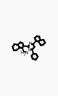 NCc1c(-c2nc(-c3ccccc3)cc(-c3cccc4ccccc34)n2)ccc2ccccc12